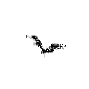 COC(C)(COC(O)Nc1cccc(Cc2cccc(NC(=O)OCCCCOC(=O)Nc3cccc(Cc4cccc(C)c4)c3)c2)c1)C(=O)O